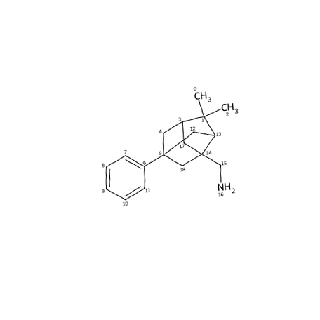 CC1(C)C2CC3(c4ccccc4)CC1C(CN)(C2)C3